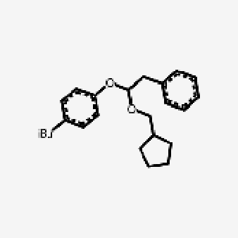 CCC(C)c1ccc(OC(Cc2ccccc2)OCC2CCCC2)cc1